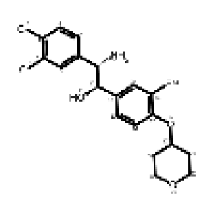 N[C@@H](c1ccc(Cl)c(Cl)c1)[C@H](O)c1ccc(OC2CCOCC2)c(F)c1